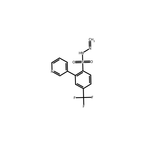 C=NNS(=O)(=O)c1ccc(C(F)(F)F)cc1-c1cccnc1